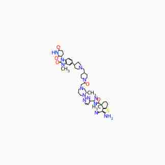 C[C@H]1CN(CC(=O)N2CCC(CN3CCC(c4ccc5c(c4)n(C)c(=O)n5C4CCC(=O)NC4=O)CC3)CC2)CCCN1c1nccc(-c2noc([C@@]3(C)CCCc4sc(N)c(C#N)c43)n2)n1